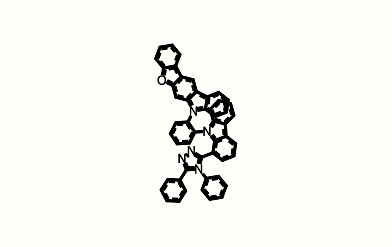 c1ccc(-c2nnc(-c3cccc4c5ccccc5n(-c5ccccc5-n5c6ccccc6c6cc7c(cc65)oc5ccccc57)c34)n2-c2ccccc2)cc1